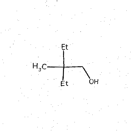 CCC(C)(CC)CO